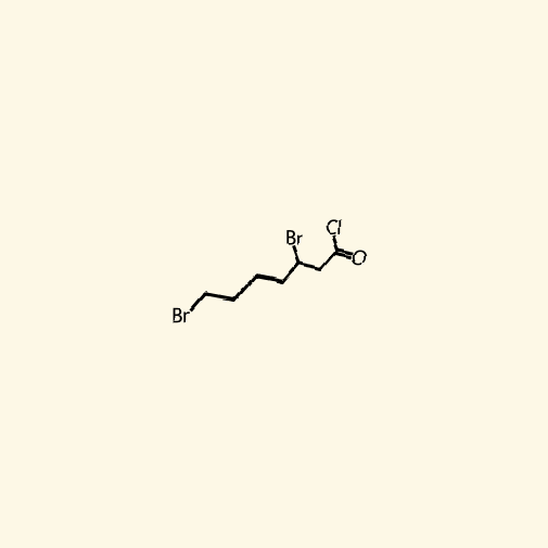 O=C(Cl)CC(Br)CCCCBr